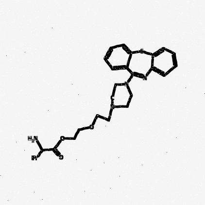 CC(C)C(N)C(=O)OCCOCCN1CCN(C2=Nc3ccccc3Sc3ccccc32)CC1